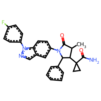 CC1C(=O)N(c2ccc3c(cnn3-c3ccc(F)cc3)c2)C(c2ccccc2)C1C1(C(N)=O)CC1